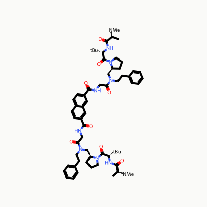 CN[C@@H](C)C(=O)N[C@H](C(=O)N1CCC[C@H]1CN(CCc1ccccc1)C(=O)CNC(=O)c1ccc2ccc(C(=O)NCC(=O)N(CCc3ccccc3)C[C@@H]3CCCN3C(=O)[C@@H](NC(=O)[C@H](C)NC)C(C)(C)C)cc2c1)C(C)(C)C